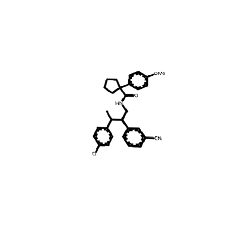 COc1ccc(C2(C(=O)NCC(c3cccc(C#N)c3)C(C)c3ccc(Cl)cc3)CCCC2)cc1